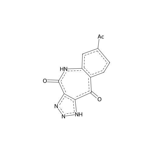 CC(=O)c1ccc2c(=O)c3[nH]nnc3c(=O)[nH]c2c1